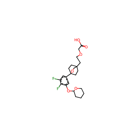 O=C(O)COCCC12CCC(c3cc(F)c(F)c(OC4CCCCO4)c3)(CC1)OC2